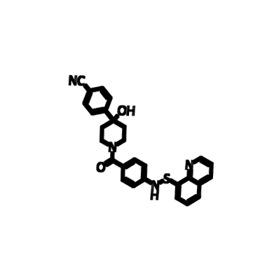 N#Cc1ccc(C2(O)CCN(C(=O)c3ccc(NSc4cccc5cccnc45)cc3)CC2)cc1